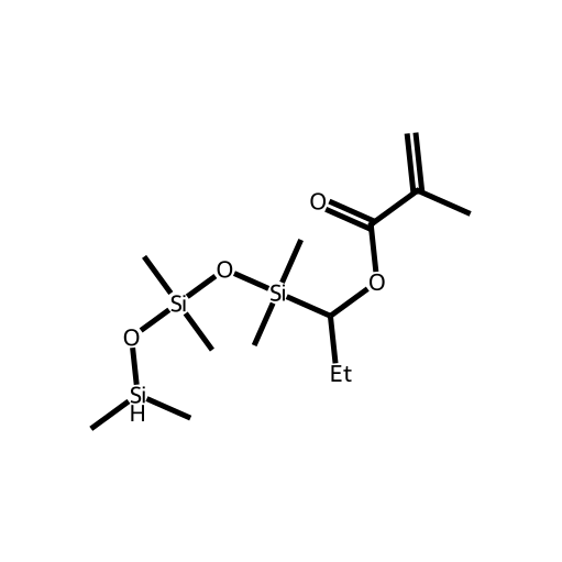 C=C(C)C(=O)OC(CC)[Si](C)(C)O[Si](C)(C)O[SiH](C)C